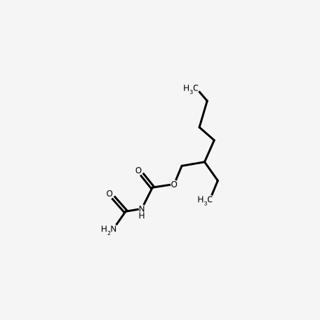 CCCCC(CC)COC(=O)NC(N)=O